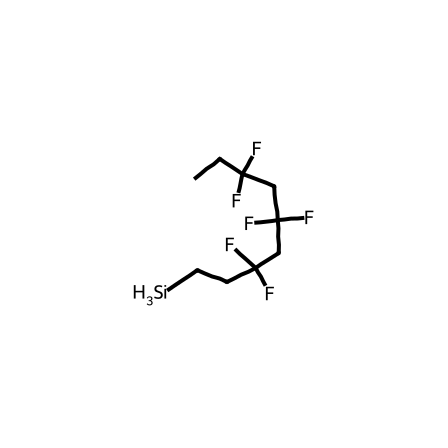 CCC(F)(F)CC(F)(F)CC(F)(F)CC[SiH3]